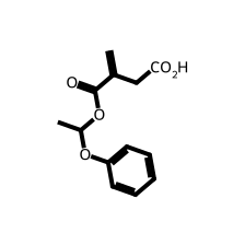 C=C(CC(=O)O)C(=O)OC(C)Oc1ccccc1